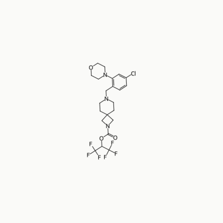 O=C(OC(C(F)(F)F)C(F)(F)F)N1CC2(CCN(Cc3ccc(Cl)cc3N3CCOCC3)CC2)C1